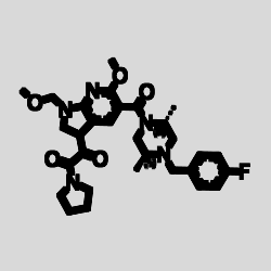 COCN1CC(C(=O)C(=O)N2CCCC2)c2cc(C(=O)N3C[C@H](C)N(Cc4ccc(F)cc4)C[C@H]3C)c(OC)nc21